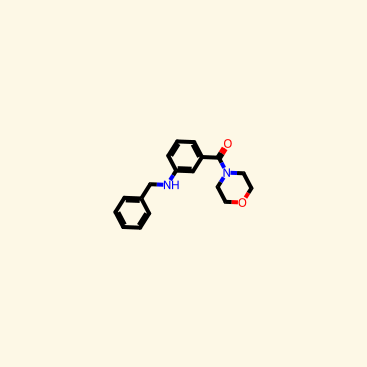 O=C(c1cccc(NCc2ccccc2)c1)N1CCOCC1